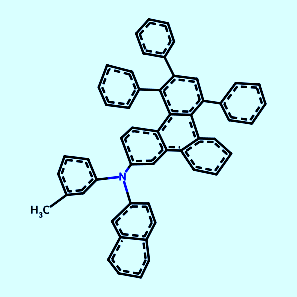 Cc1cccc(N(c2ccc3ccccc3c2)c2ccc3c(c2)c2ccccc2c2c(-c4ccccc4)cc(-c4ccccc4)c(-c4ccccc4)c32)c1